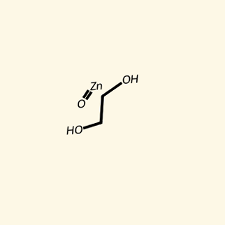 OCCO.[O]=[Zn]